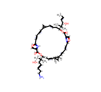 C/C=C/[C@H](O)C(C)(C)[C@@H]1C/C=C\C2CC2/C=C/C=C\c2nc(co2)C(=O)O[C@H](C(C)(C)[C@@H](O)/C=C/CCN)C/C=C\[C@H]2C[C@H]2/C=C/C=C\c2nc(co2)C(=O)O1